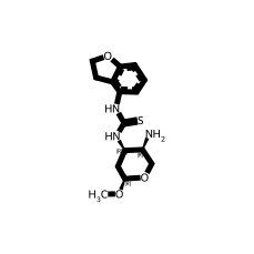 CO[C@H]1C[C@@H](NC(=S)Nc2cccc3c2CCO3)[C@@H](N)CO1